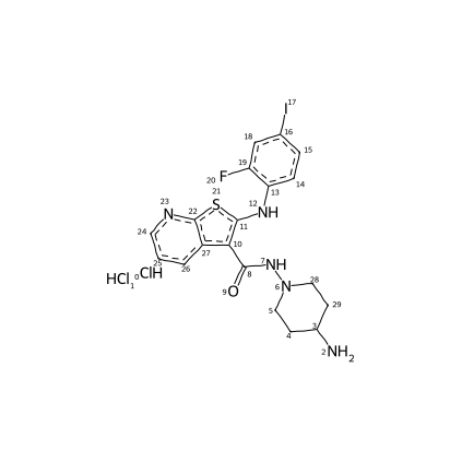 Cl.Cl.NC1CCN(NC(=O)c2c(Nc3ccc(I)cc3F)sc3ncccc23)CC1